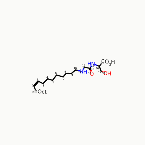 CCCCCCCC/C=C\CCCCCCCCNCC(=O)NC(CO)C(=O)O